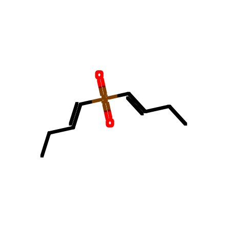 CCC=CS(=O)(=O)C=CCC